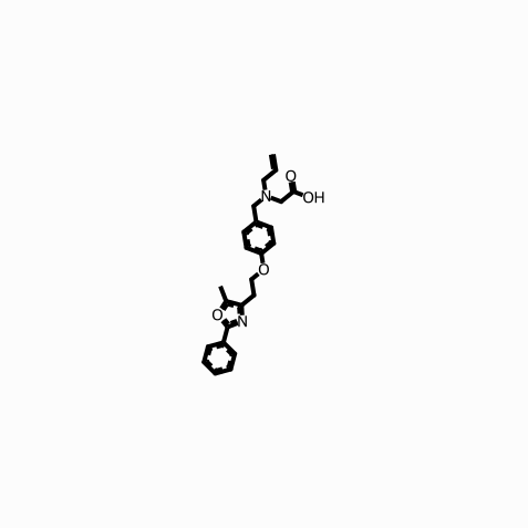 C=CCN(CC(=O)O)Cc1ccc(OCCc2nc(-c3ccccc3)oc2C)cc1